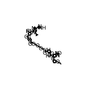 CCCOc1cccc(Oc2cc3c(cc2NS(=O)(=O)c2cccc(C(=O)NCCOCCOCCOCC(=O)N4CCN(C(=O)c5ccc(Nc6nc(C7CC7)cn7c(-c8cn[nH]c8)cnc67)c(F)c5)CC4)c2)n(C)c(=O)n3C)c1